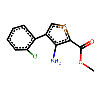 COC(=O)c1scc(-c2ccccc2Cl)c1N